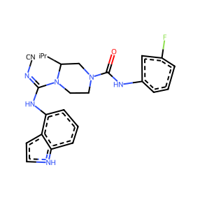 CC(C)C1CN(C(=O)Nc2cccc(F)c2)CCN1/C(=N\C#N)Nc1cccc2[nH]ccc12